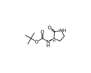 CC(C)(C)OC(=O)N[C@@H]1CCNC1=O